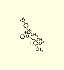 CCOC(=O)C(C)(C)CCCCOc1ccccc1Cn1cc(C)nc1-c1ccc(-c2ccco2)cc1